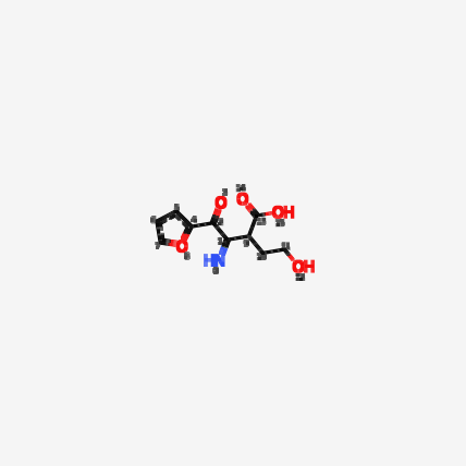 N=C(C(=O)c1ccco1)C(CCO)C(=O)O